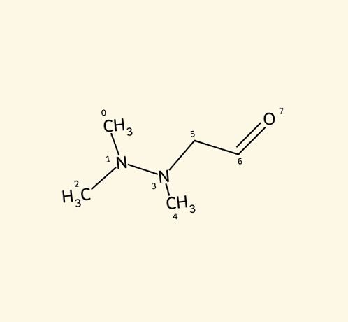 CN(C)N(C)CC=O